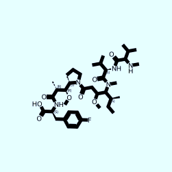 CC[C@H](C)C(C(CC(=O)N1CCC[C@H]1[C@H](OC)[C@@H](C)C(=O)N[C@@H](Cc1ccc(F)cc1)C(=O)O)OC)N(C)C(=O)[C@@H](NC(=O)C(NC)C(C)C)C(C)C